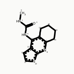 CNC(=O)Nc1c2c(nc3sccc13)CCCC2